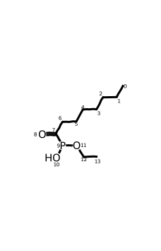 CCCCCCCC(=O)P(O)OCC